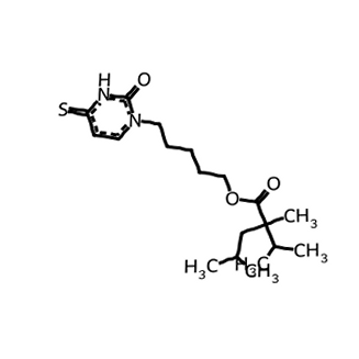 CC(C)CC(C)(C(=O)OCCCCCn1ccc(=S)[nH]c1=O)C(C)C